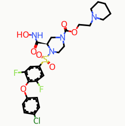 O=C(NO)[C@H]1CN(C(=O)OCCN2CCCCC2)CCN1S(=O)(=O)c1cc(F)c(Oc2ccc(Cl)cc2)c(F)c1